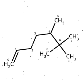 C=CCCC(C)C(C)(C)C